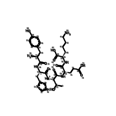 C[C@@H](O)[C@H](NC(=O)[C@H](Cc1c[nH]cn1)NC(=O)[C@@H](N)Cc1ccc(O)cc1)C(=O)N[C@@H](CCC(=O)O)C(=O)N[C@@H](CCCCN)C(=O)O